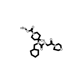 CCCCOC(=O)N1CCC(C#N)(N(CC2CCCCC2)C(=O)OCC(=O)N2CCOCC2)CC1